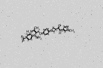 C/C(N)=C(\COc1ccc(N2CC(C(=O)Nc3cnn(C)c3)C2)nn1)N(N)c1ccc(C(F)F)cc1